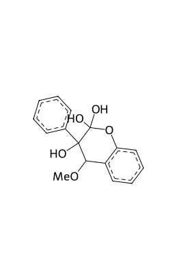 COC1c2ccccc2OC(O)(O)C1(O)c1ccccc1